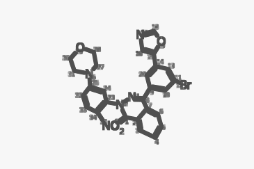 O=c1c2ccccc2c(-c2cc(Br)cc(-c3cnco3)c2)nn1-c1cc(N2CCOCC2)ccc1[N+](=O)[O-]